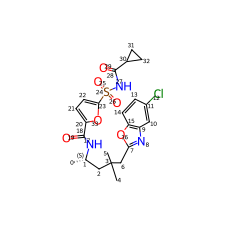 C[C@@H](CC(C)(C)Cc1nc2cc(Cl)ccc2o1)NC(=O)c1ccc(S(=O)(=O)NC(=O)C2CC2)o1